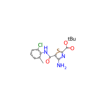 Cc1cccc(Cl)c1NC(=O)c1sc(C(=O)OC(C)(C)C)nc1N